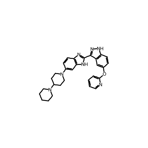 c1ccc(Oc2ccc3[nH]nc(-c4nc5ccc(N6CCC(N7CCCCC7)CC6)cc5[nH]4)c3c2)nc1